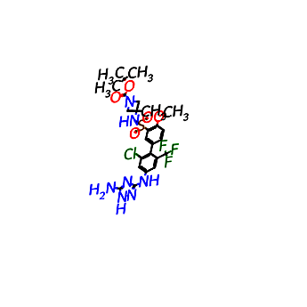 COc1ccc(-c2c(Cl)cc(Nc3n[nH]c(N)n3)cc2C(F)(F)F)cc1S(=O)(=O)NC1(C)CN(C(=O)OC(C)(C)C)C1